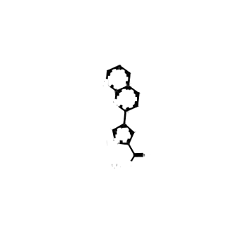 COC(=O)c1cc(-c2ccc3cccnc3n2)c[nH]1